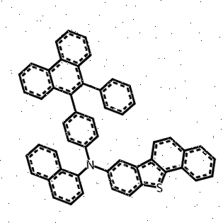 c1ccc(-c2c(-c3ccc(N(c4ccc5sc6c7ccccc7ccc6c5c4)c4cccc5ccccc45)cc3)c3ccccc3c3ccccc23)cc1